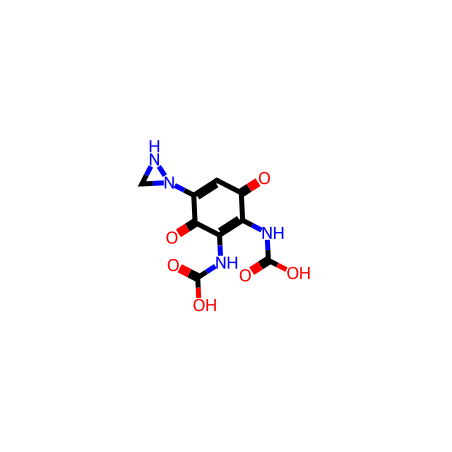 O=C(O)NC1=C(NC(=O)O)C(=O)C(N2CN2)=CC1=O